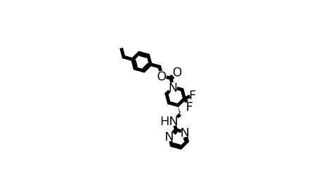 CCc1ccc(COC(=O)N2CC[C@@H](CNc3ncccn3)C(F)(F)C2)cc1